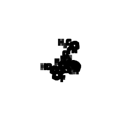 C#Cc1c(F)ccc2cc(O)cc(-c3nc(C#C)c4c(N5CC6CCC(C5)N6)nc(OCCC5=NC=CCC5C)nc4c3F)c12